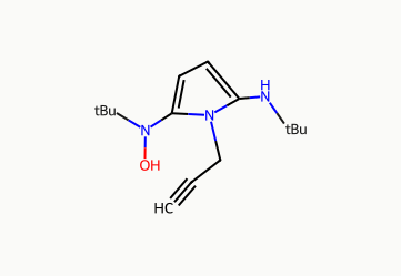 C#CCn1c(NC(C)(C)C)ccc1N(O)C(C)(C)C